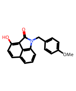 COc1ccc(CN2C(=O)c3c(O)ccc4cccc2c34)cc1